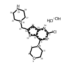 Cl.Cl.Clc1nc(N2CCOCC2)c2sc(CN3CCNCC3)cc2n1